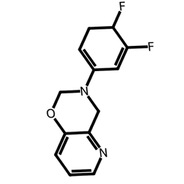 FC1=CC(N2COc3cccnc3C2)=CCC1F